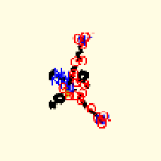 COc1ccccc1Oc1c(OCCOC(=O)CCCO[N+](=O)[O-])nc(-c2ncccn2)nc1N(COC(=O)OCCOCCO[N+](=O)[O-])S(=O)(=O)c1ccc(C(C)(C)C)cc1